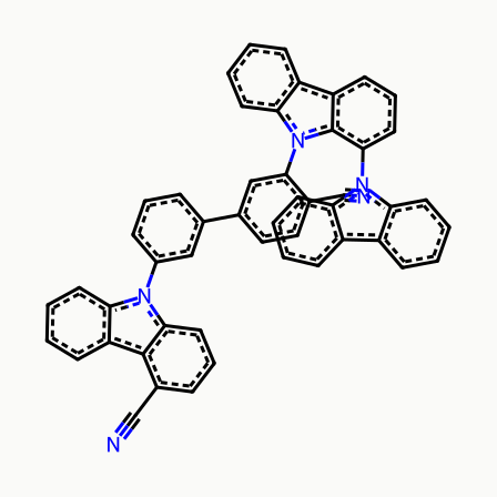 N#Cc1ccc(-c2cccc(-n3c4ccccc4c4c(C#N)cccc43)c2)cc1-n1c2ccccc2c2cccc(-n3c4ccccc4c4ccccc43)c21